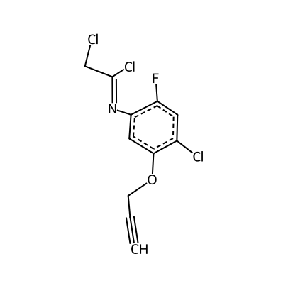 C#CCOc1cc(N=C(Cl)CCl)c(F)cc1Cl